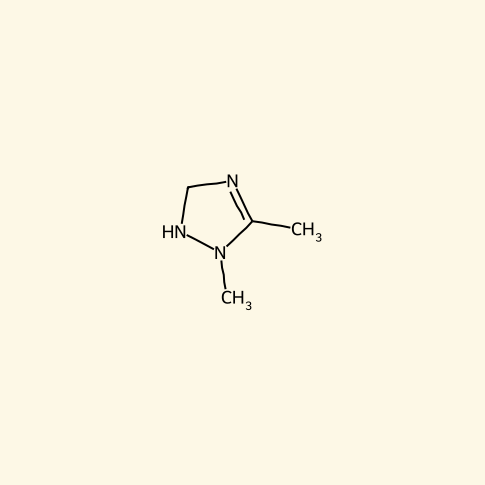 CC1=NCNN1C